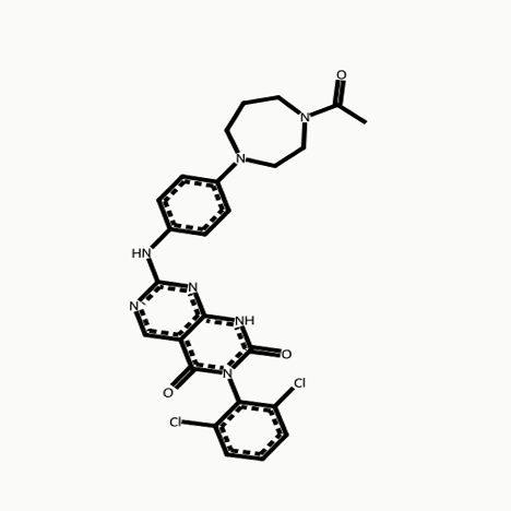 CC(=O)N1CCCN(c2ccc(Nc3ncc4c(=O)n(-c5c(Cl)cccc5Cl)c(=O)[nH]c4n3)cc2)CC1